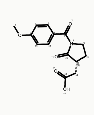 COc1ccc(C(=O)N2CC[C@H](CC(=O)O)C2=O)cc1